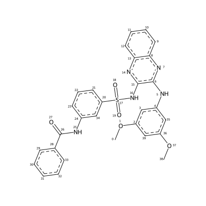 COc1cc(Nc2nc3ccccc3nc2NS(=O)(=O)c2cccc(NC(=O)c3ccccc3)c2)cc(OC)c1